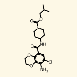 CC(C)COC(=O)N1CCC(NC(=O)c2cc(Cl)c(N)c3c2OCCO3)CC1